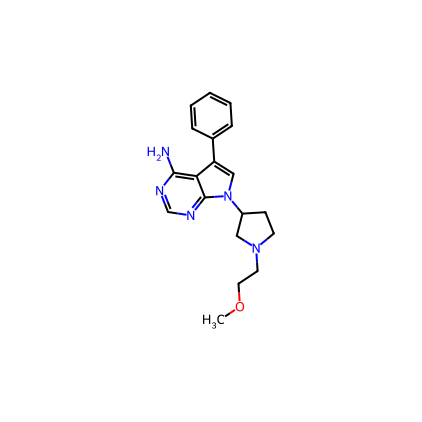 COCCN1CCC(n2cc(-c3ccccc3)c3c(N)ncnc32)C1